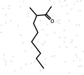 CCCCCCC(C)C(C)=O